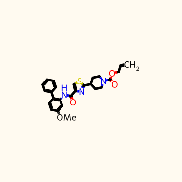 C=CCOC(=O)N1CCC(c2nc(C(=O)Nc3cc(OC)ccc3-c3ccccc3)cs2)CC1